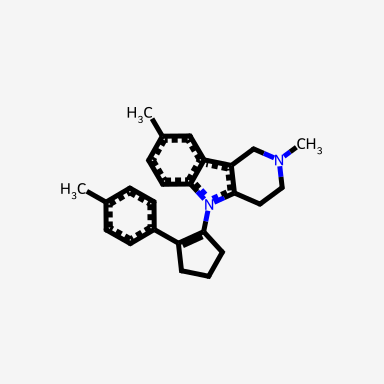 Cc1ccc(C2=C(n3c4c(c5cc(C)ccc53)CN(C)CC4)CCC2)cc1